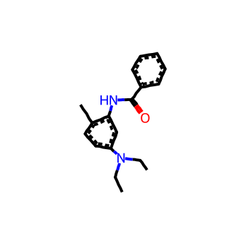 CCN(CC)c1ccc(C)c(NC(=O)c2ccccc2)c1